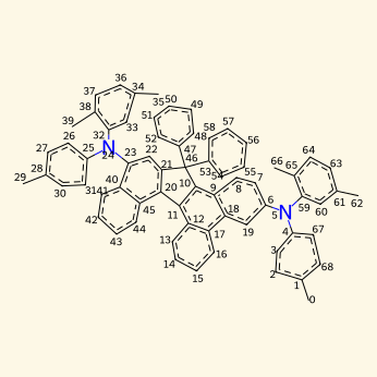 Cc1ccc(N(c2ccc3c4c(c5ccccc5c3c2)-c2c(cc(N(c3ccc(C)cc3)c3cc(C)ccc3C)c3ccccc23)C4(c2ccccc2)c2ccccc2)c2cc(C)ccc2C)cc1